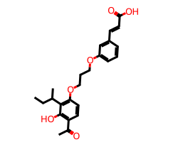 CCC(C)c1c(OCCCOc2cccc(C=CC(=O)O)c2)ccc(C(C)=O)c1O